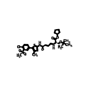 Cc1nc(NC(=O)CCCN[C@@H](COC(C)(C)C)C(=O)OC2CCCC2)sc1-c1ccc(Cl)c(S(C)(=O)=O)c1